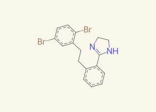 Brc1ccc(Br)c(CCc2ccccc2C2=NCCN2)c1